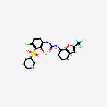 O=C(Nc1ccc(Cl)c(S(=O)(=O)C2CCCNC2)c1O)NC1CCCc2cc(C(F)(F)F)oc21